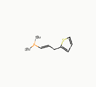 CC(C)(C)P(C=CCc1cccs1)C(C)(C)C